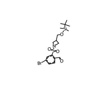 CC(C)(C)[Si](C)(C)OCC1CN(S(=O)(=O)c2cc(Br)ccc2C=O)C1